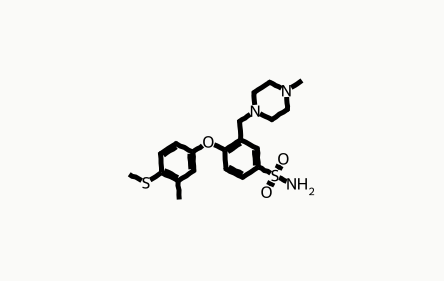 CSc1ccc(Oc2ccc(S(N)(=O)=O)cc2CN2CCN(C)CC2)cc1C